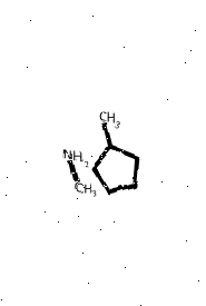 CC1CCCC1.CN